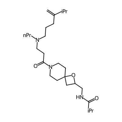 C=C(CCCN(CCC)CCC(=O)N1CCC2(CC1)CC(CNC(=O)C(C)C)O2)C(C)C